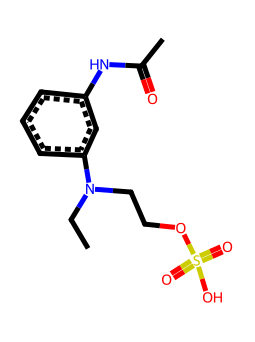 CCN(CCOS(=O)(=O)O)c1cccc(NC(C)=O)c1